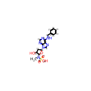 CN([C@H]1O[C@@H](n2cnc3c(NCc4ccccc4)ncnc32)C[C@@H]1O)S(=O)(=O)O